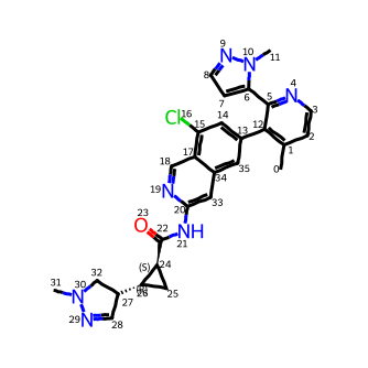 Cc1ccnc(-c2ccnn2C)c1-c1cc(Cl)c2cnc(NC(=O)[C@H]3C[C@@H]3C3C=NN(C)C3)cc2c1